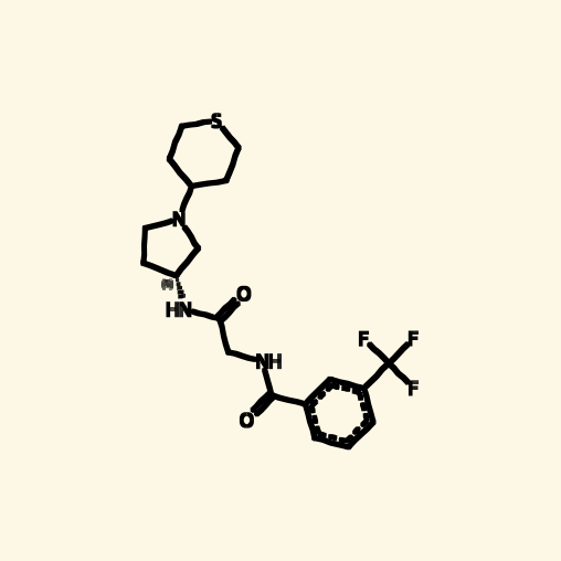 O=C(CNC(=O)c1cccc(C(F)(F)F)c1)N[C@@H]1CCN(C2CCSCC2)C1